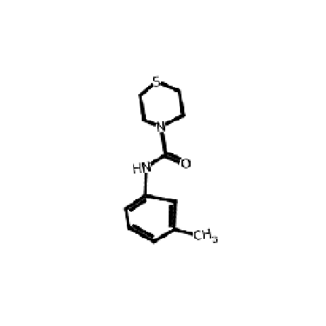 Cc1cccc(NC(=O)N2CCSCC2)c1